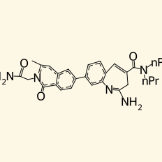 CCCN(CCC)C(=O)C1=Cc2ccc(-c3ccc4c(=O)n(CC(N)=O)c(C)cc4c3)cc2N=C(N)C1